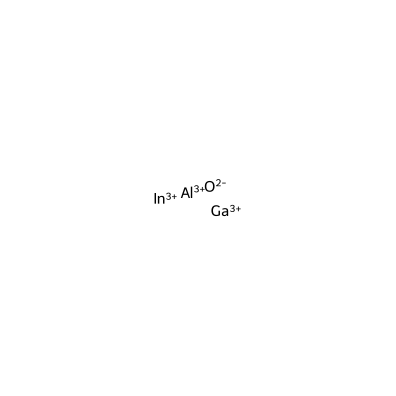 [Al+3].[Ga+3].[In+3].[O-2]